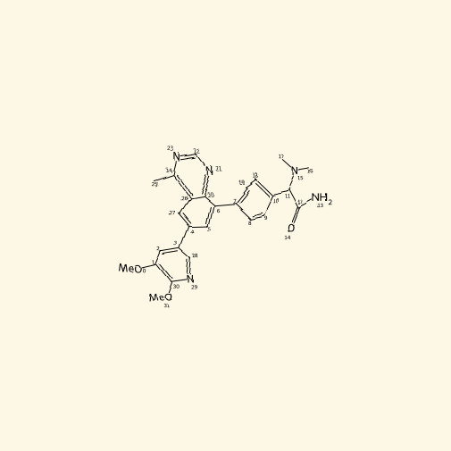 COc1cc(-c2cc(-c3ccc(C(C(N)=O)N(C)C)cc3)c3ncnc(C)c3c2)cnc1OC